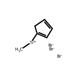 [Br-].[Br-].[Br-].[CH3][Ti+3][C]1=CC=CC1